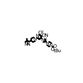 Cc1cnn(C)c1C1CCN(c2cc(N3C[C@@H](N4CCN(C(=O)OC(C)(C)C)CC4)[C@H]3C)c(C#N)c(C(F)(F)F)n2)CC1